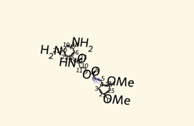 COc1ccc(/C=C/C(=O)OCCC(=O)Nc2cc(N)cc(N)c2)c(OC)c1